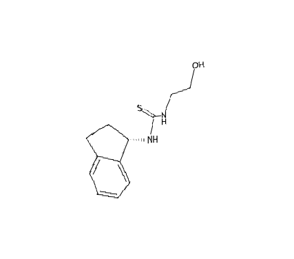 OCCNC(=S)N[C@H]1CCc2ccccc21